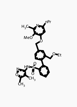 CCCc1cc(OCc2ccc(-c3ccccc3S(=O)(=O)Nc3noc(C)c3C)c(COCC)c2)c(OC)c(C)n1